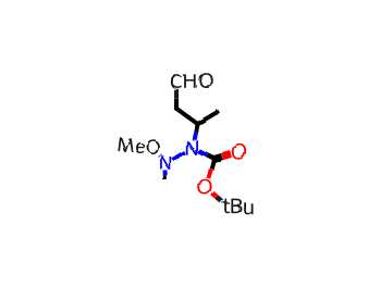 CON(C)N(C(=O)OC(C)(C)C)C(C)CC=O